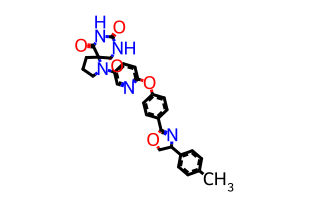 Cc1ccc(C2COC(c3ccc(Oc4ccc(N5CCCC56C(=O)NC(=O)NC6=O)cn4)cc3)=N2)cc1